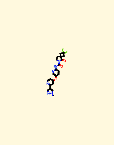 Cn1cc(-c2cc(Oc3ccc(NC(=O)N4CCC5(CC(F)(F)C5)C4=O)nc3)ccn2)cn1